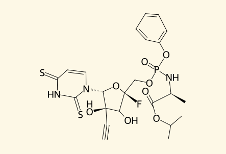 C#C[C@@]1(O)C(O)[C@@](F)(COP(=O)(N[C@@H](C)C(=O)OC(C)C)Oc2ccccc2)O[C@H]1n1ccc(=S)[nH]c1=S